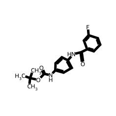 CC(C)(C)OC(=O)Nc1ccc(NC(=O)c2cccc(F)c2)cc1